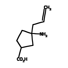 C=CCC1(N)CCC(C(=O)O)C1